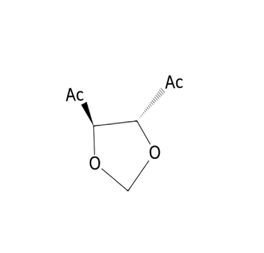 CC(=O)[C@@H]1OCO[C@H]1C(C)=O